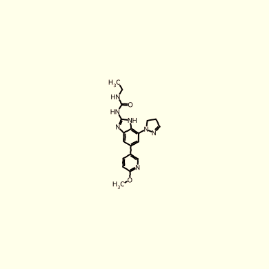 CCNC(=O)Nc1nc2cc(-c3ccc(OC)nc3)cc(N3CCC=N3)c2[nH]1